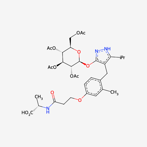 CC(=O)OC[C@H]1O[C@@H](Oc2n[nH]c(C(C)C)c2Cc2ccc(OCCC(=O)N[C@@H](C)C(=O)O)cc2C)[C@H](OC(C)=O)[C@@H](OC(C)=O)[C@@H]1OC(C)=O